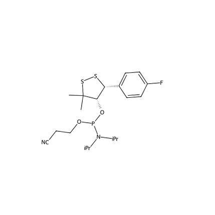 CC(C)N(C(C)C)P(OCCC#N)O[C@H]1[C@@H](c2ccc(F)cc2)SSC1(C)C